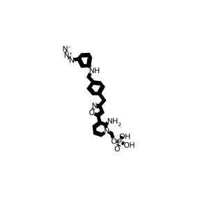 [N-]=[N+]=Nc1cccc(NCc2ccc(Cc3cc(C4=CC=CN(COP(=O)(O)O)C4N)on3)cc2)c1